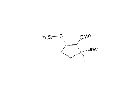 COC1=C(O[SiH3])CCC1(C)OC